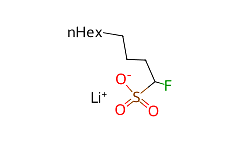 CCCCCCCCCC(F)S(=O)(=O)[O-].[Li+]